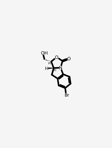 O=C1O[C@@H](CO)[C@H]2Cc3cc(Br)ccc3N12